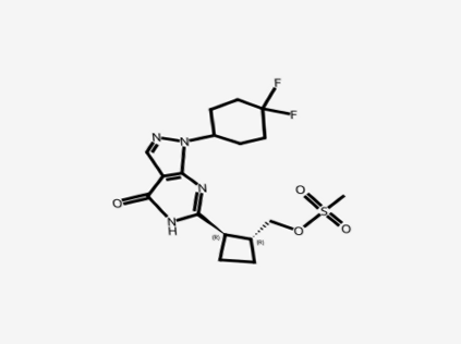 CS(=O)(=O)OC[C@@H]1CC[C@H]1c1nc2c(cnn2C2CCC(F)(F)CC2)c(=O)[nH]1